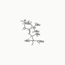 CCCCC(C)(OC)C(C=[C](O[SiH](C)C)[Sn]([CH2]CCC)([CH2]CCC)[CH2]CCC)C(C)(C)C